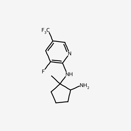 CC1(Nc2ncc(C(F)(F)F)cc2F)CCCC1N